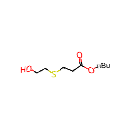 CCCCOC(=O)CCSCCO